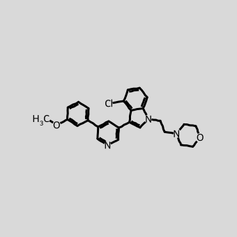 COc1cccc(-c2cncc(-c3cn(CCN4CCOCC4)c4cccc(Cl)c34)c2)c1